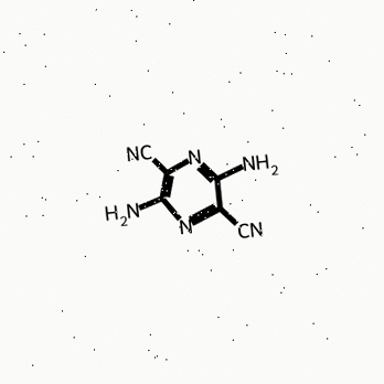 N#Cc1nc(N)c(C#N)nc1N